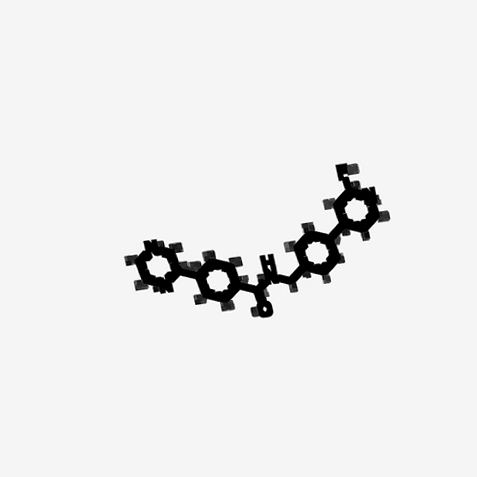 O=C(NCc1ccc(-c2ccnc(F)c2)cc1)c1ccc(-c2cnccn2)cc1